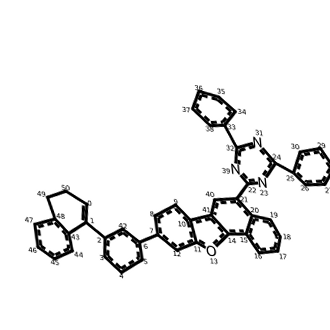 C1=C(c2cccc(-c3ccc4c(c3)oc3c5ccccc5c(-c5nc(-c6ccccc6)nc(-c6ccccc6)n5)cc43)c2)c2ccccc2CC1